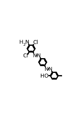 Cc1ccc(O)c(/N=N/c2ccc(/N=N/c3cc(Cl)c(N)cc3Cl)cc2)c1